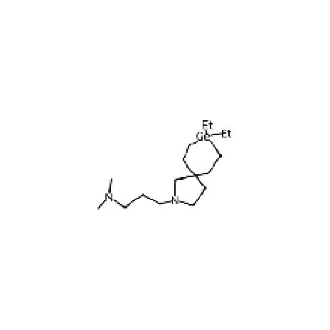 C[CH2][Ge]1([CH2]C)[CH2]CC2(CCN(CCCN(C)C)C2)C[CH2]1